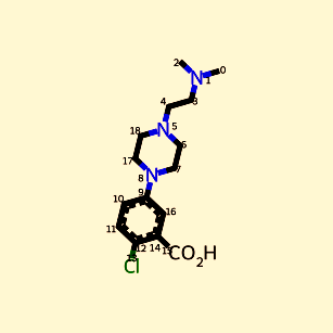 CN(C)CCN1CCN(c2ccc(Cl)c(C(=O)O)c2)CC1